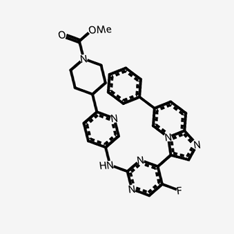 COC(=O)N1CCC(c2ccc(Nc3ncc(F)c(-c4cnc5ccc(-c6ccccc6)cn45)n3)cn2)CC1